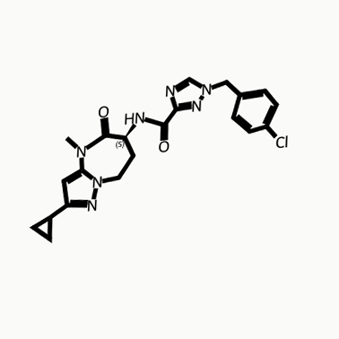 CN1C(=O)[C@@H](NC(=O)c2ncn(Cc3ccc(Cl)cc3)n2)CCn2nc(C3CC3)cc21